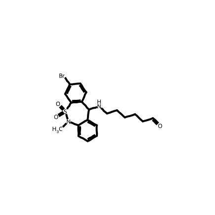 CN1c2ccccc2C(NCCCCCC=O)c2ccc(Br)cc2S1(=O)=O